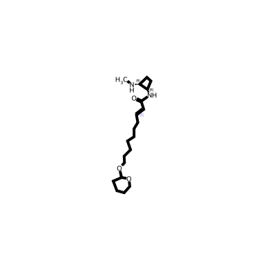 CN[C@@H]1CC[C@H]1NC(=O)/C=C/CCCCCCCOC1CCCCO1